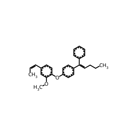 C/C=C\c1ccc(Oc2ccc(/C(=C/CCC)c3ccccc3)cc2)c(OC)c1